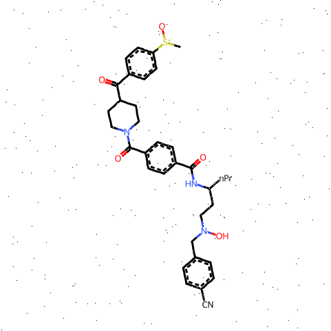 CCCC(CCN(O)Cc1ccc(C#N)cc1)NC(=O)c1ccc(C(=O)N2CCC(C(=O)c3ccc([S+](C)[O-])cc3)CC2)cc1